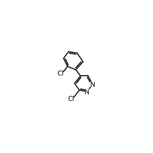 Clc1cc(-c2ccccc2Cl)cnn1